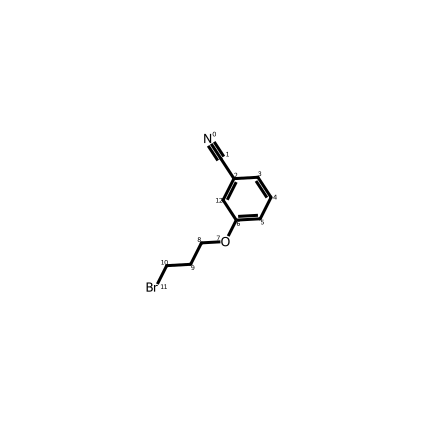 N#Cc1cccc(OCCCBr)c1